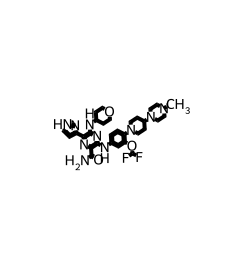 CN1CCN(C2CCN(c3ccc(Nc4nc(NC5CCOCC5)c(-c5cc[nH]n5)nc4C(N)=O)cc3OC(F)F)CC2)CC1